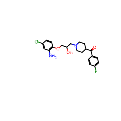 Nc1cc(Cl)ccc1OCC(O)CN1CCC(C(=O)c2ccc(F)cc2)CC1